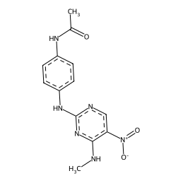 CNc1nc(Nc2ccc(NC(C)=O)cc2)ncc1[N+](=O)[O-]